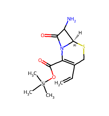 C=CC1=C(C(=O)O[Si](C)(C)C)N2C(=O)C(N)[C@H]2SC1